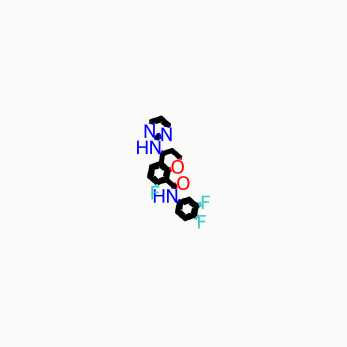 O=C(Nc1ccc(F)c(F)c1)c1c(F)ccc2c1OCCC2Nc1ncccn1